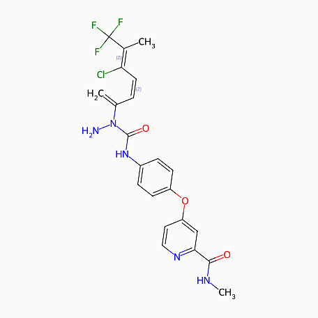 C=C(/C=C\C(Cl)=C(/C)C(F)(F)F)N(N)C(=O)Nc1ccc(Oc2ccnc(C(=O)NC)c2)cc1